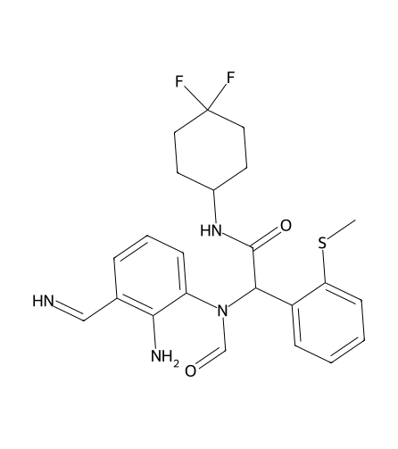 CSc1ccccc1C(C(=O)NC1CCC(F)(F)CC1)N(C=O)c1cccc(C=N)c1N